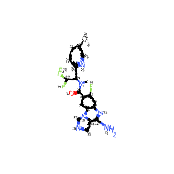 CN(C(=O)c1cc2c(cc1F)nc(N)c1cncn12)C(c1ccc(C(F)(F)F)cn1)C(F)F